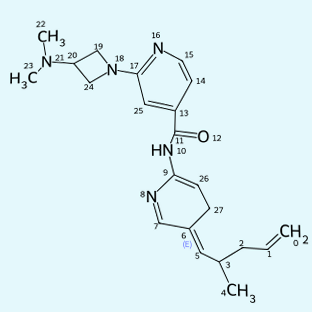 C=CCC(C)/C=C1/C=NC(NC(=O)c2ccnc(N3CC(N(C)C)C3)c2)=CC1